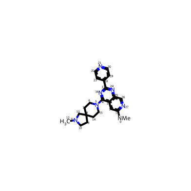 CNc1cc2c(N3CCC4(CCN(C)C4)CC3)nc(-c3ccncc3)nc2cn1